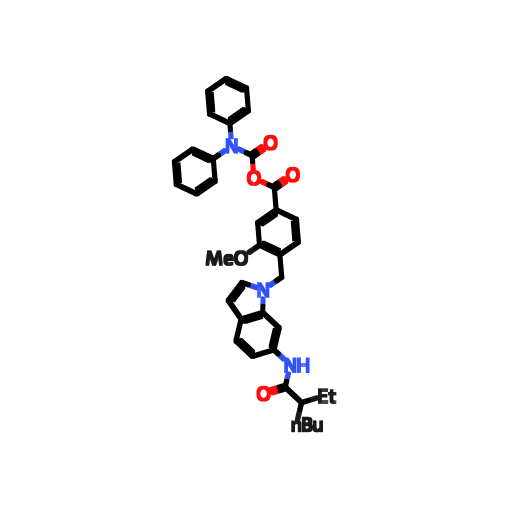 CCCCC(CC)C(=O)Nc1ccc2ccn(Cc3ccc(C(=O)OC(=O)N(c4ccccc4)c4ccccc4)cc3OC)c2c1